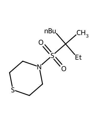 CCCCC(C)(CC)S(=O)(=O)N1CCSCC1